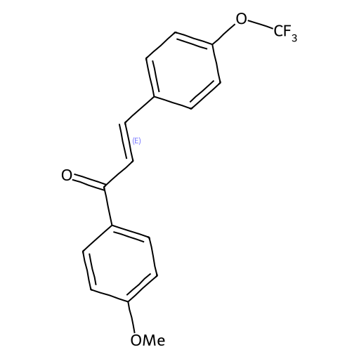 COc1ccc(C(=O)/C=C/c2ccc(OC(F)(F)F)cc2)cc1